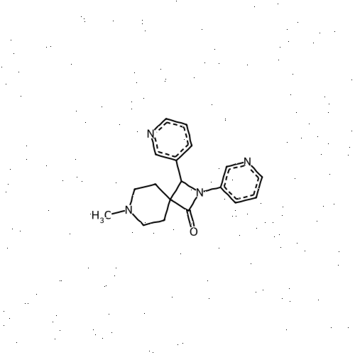 CN1CCC2(CC1)C(=O)N(c1cccnc1)C2c1cccnc1